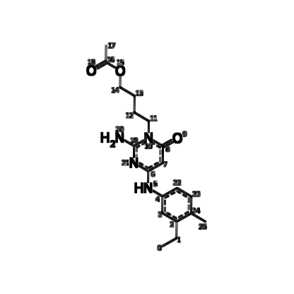 CCc1cc(Nc2cc(=O)n(CCCCOC(C)=O)c(N)n2)ccc1C